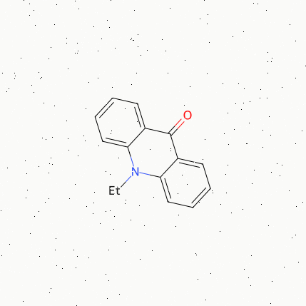 [CH2]Cn1c2ccccc2c(=O)c2ccccc21